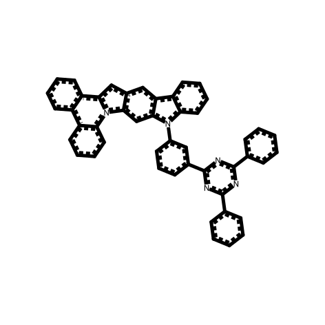 c1ccc(-c2nc(-c3ccccc3)nc(-c3cccc(-n4c5ccccc5c5cc6cc7c8ccccc8c8ccccc8n7c6cc54)c3)n2)cc1